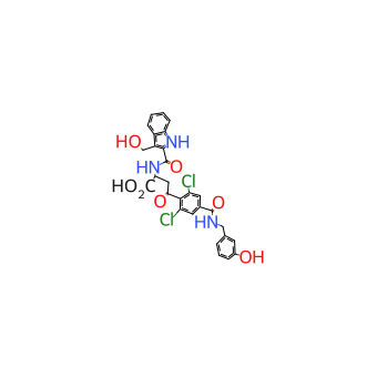 O=C(NCc1cccc(O)c1)c1cc(Cl)c(C(=O)CC(NC(=O)c2[nH]c3ccccc3c2CO)C(=O)O)c(Cl)c1